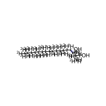 [2H]/C(=C(/[2H])[C@@]([2H])(O)[C@@]([2H])(N([2H])[2H])C([2H])([2H])O)C([2H])([2H])C([2H])([2H])C([2H])([2H])C([2H])([2H])C([2H])([2H])C([2H])([2H])C([2H])([2H])C([2H])([2H])C([2H])([2H])C([2H])([2H])C([2H])([2H])C([2H])([2H])C([2H])([2H])[2H]